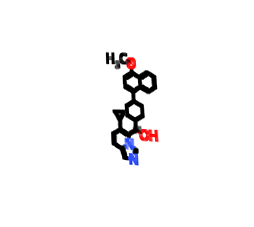 COc1ccc(C2CCC([C@@H](O)c3c(C4CC4)ccc4cncn34)CC2)c2ccccc12